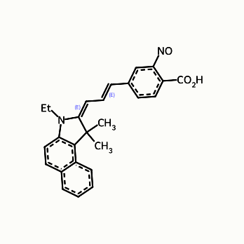 CCN1/C(=C/C=C/c2ccc(C(=O)O)c(N=O)c2)C(C)(C)c2c1ccc1ccccc21